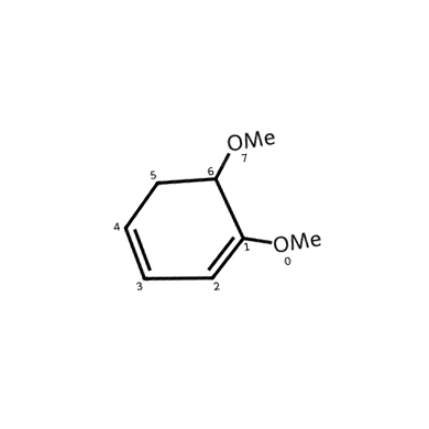 COC1=CC=CCC1OC